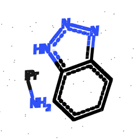 CC(C)N.c1ccc2[nH]nnc2c1